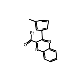 CCC(=O)c1nc2ccccc2nc1-c1cccc(C)c1